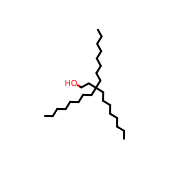 CCCCCCCCC(CCO)(CCCCCCCC)CCCCCCCC